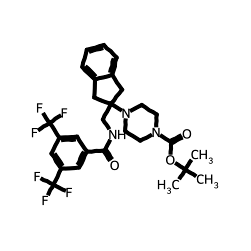 CC(C)(C)OC(=O)N1CCN(C2(CNC(=O)c3cc(C(F)(F)F)cc(C(F)(F)F)c3)Cc3ccccc3C2)CC1